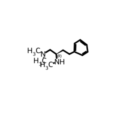 CN[C@H](CCc1ccccc1)CN(C)C